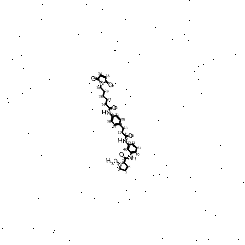 CN1CCCC1C(=O)Nc1cccc(NC(=O)CCc2ccc(NC(=O)CCCCCN3C(=O)C=CC3=O)cc2)c1